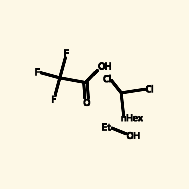 CCCCCCC(Cl)Cl.CCO.O=C(O)C(F)(F)F